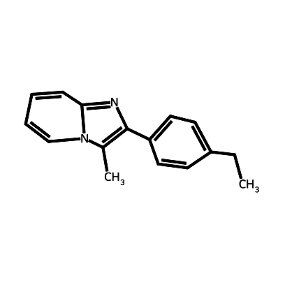 CCc1ccc(-c2nc3ccccn3c2C)cc1